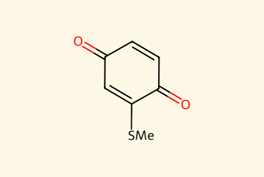 CSC1=CC(=O)C=CC1=O